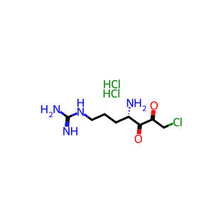 Cl.Cl.N=C(N)NCCC[C@H](N)C(=O)C(=O)CCl